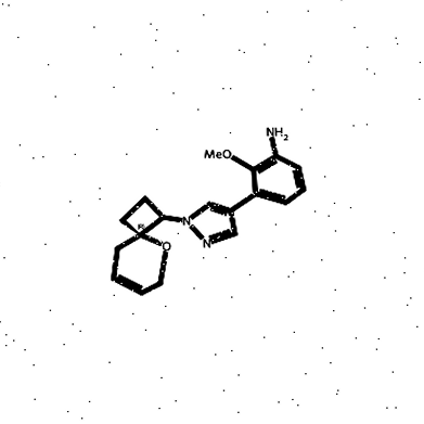 COc1c(N)cccc1-c1cnn(C2CC[C@@]23CC=CCO3)c1